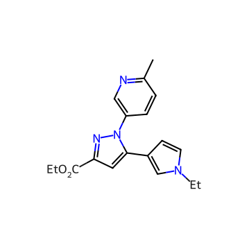 CCOC(=O)c1cc(-c2ccn(CC)c2)n(-c2ccc(C)nc2)n1